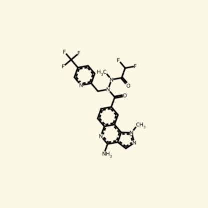 CN(C(=O)C(F)F)N(Cc1ccc(C(F)(F)F)cn1)C(=O)c1ccc2nc(N)c3cnn(C)c3c2c1